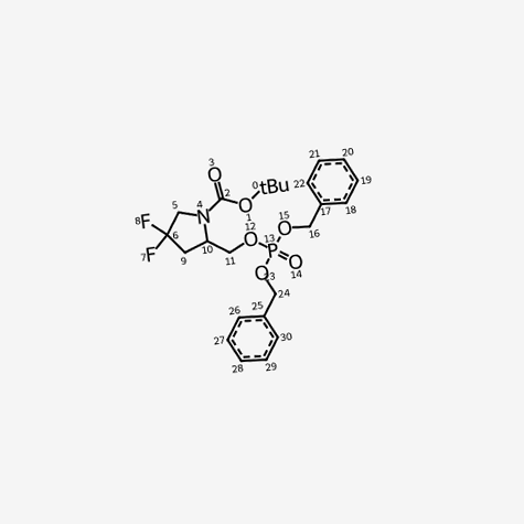 CC(C)(C)OC(=O)N1CC(F)(F)CC1COP(=O)(OCc1ccccc1)OCc1ccccc1